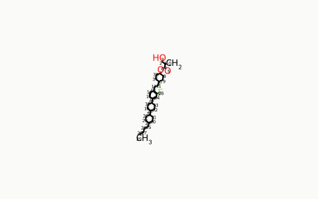 C=C(CO)C(=O)OC1CCC(CCc2ccc(C3CCC(C4CCC(CCCCC)CC4)CC3)cc2F)CC1